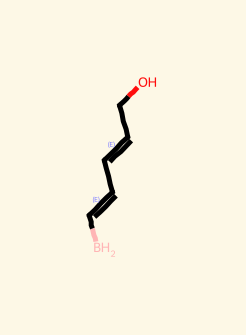 B/C=C/C=C/CO